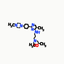 CCN(CCCNc1nc(-c2ccc(N3CCN(C)CC3)cc2)ncc1C)C[C@@H](C)O